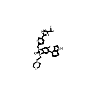 O=c1n(CCN2CCOCC2)c2cc(-c3cccc4[nH]ccc34)c(F)cc2n1Cc1ccc(-c2nnc(C(F)F)o2)cn1